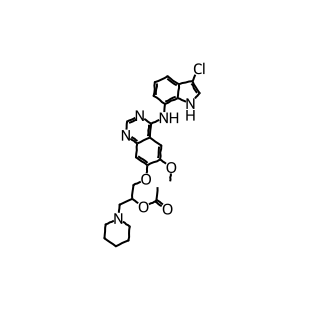 COc1cc2c(Nc3cccc4c(Cl)c[nH]c34)ncnc2cc1OCC(CN1CCCCC1)OC(C)=O